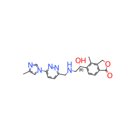 Cc1cn(-c2ccc(CNC[C@H](O)c3ccc4c(c3C)COC4=O)nn2)cn1